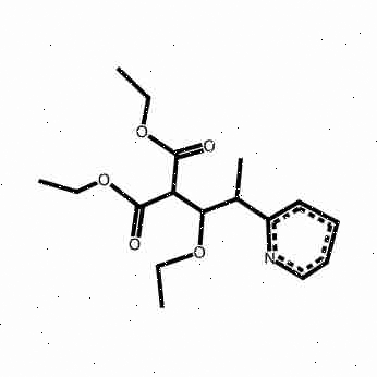 CCOC(=O)C(C(=O)OCC)C(OCC)C(C)c1ccccn1